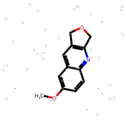 COc1ccc2nc3c(cc2c1)COC3